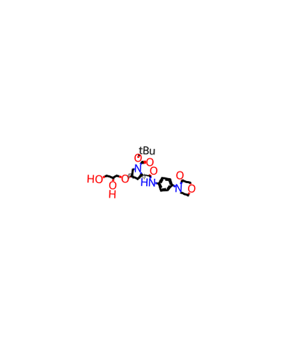 CC(C)(C)OC(=O)N1C[C@H](OCC(O)CO)C[C@@H]1C(=O)Nc1ccc(N2CCOCC2=O)cc1